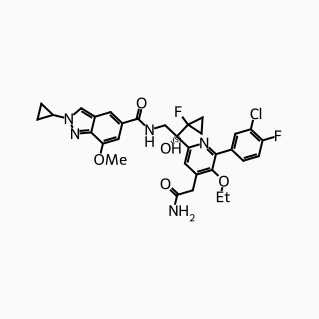 CCOc1c(CC(N)=O)cc([C@@](O)(CNC(=O)c2cc(OC)c3nn(C4CC4)cc3c2)C2(F)CC2)nc1-c1ccc(F)c(Cl)c1